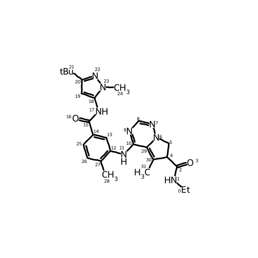 CCNC(=O)C1CN2N=CN=C(Nc3cc(C(=O)Nc4cc(C(C)(C)C)nn4C)ccc3C)C2=C1C